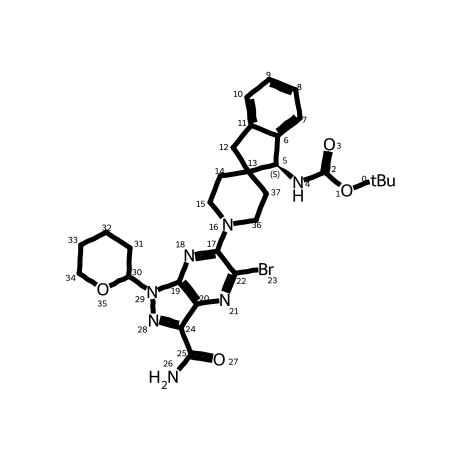 CC(C)(C)OC(=O)N[C@@H]1c2ccccc2CC12CCN(c1nc3c(nc1Br)c(C(N)=O)nn3C1CCCCO1)CC2